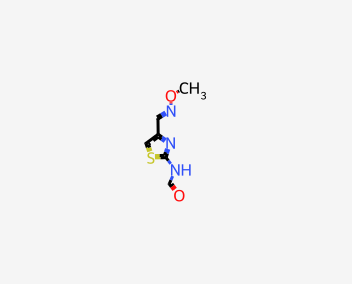 CON=Cc1csc(NC=O)n1